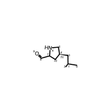 CC(C)C[C@@H]1CNC(C=O)C1